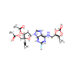 C#C[C@]1(COC(=O)C(C)C)O[C@@H](n2cnc3c(NCc4oc(=O)oc4C)nc(F)nc32)C[C@@H]1OC(=O)C(C)C